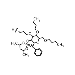 CCCCOCC1OC(Sc2ccccc2)C(OP2(=O)O[C@H](C)C[C@@H](C)O2)C(OCCCC)C1OCCCC